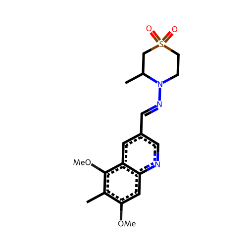 COc1cc2ncc(C=NN3CCS(=O)(=O)CC3C)cc2c(OC)c1C